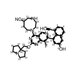 C#Cc1cccc2cc(O)cc(-c3ncc4c(N5CCNCC(C#N)CC5)nc(OCC56CCCN5CCC6)nc4c3F)c12